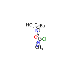 CN1CCN(c2cc(Cl)cc(C(=O)C=Cc3cccc(C=C(C(=O)O)C(C)(C)C)n3)c2)CC1